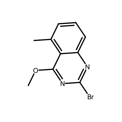 COc1nc(Br)nc2cccc(C)c12